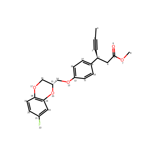 CC#C[C@@H](CC(=O)OC)c1ccc(OC[C@H]2COc3ccc(F)cc3O2)cc1